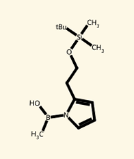 CB(O)n1cccc1CCO[Si](C)(C)C(C)(C)C